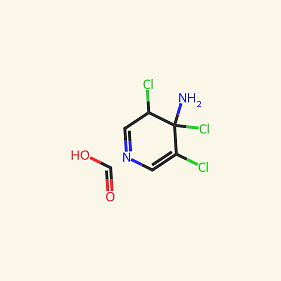 NC1(Cl)C(Cl)=CN=CC1Cl.O=CO